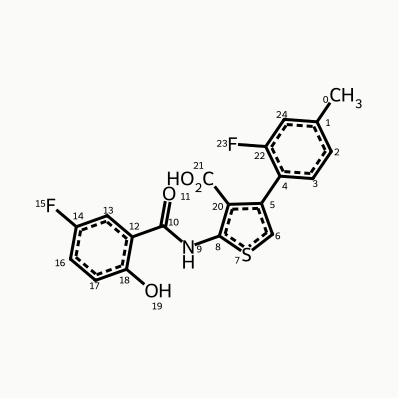 Cc1ccc(-c2csc(NC(=O)c3cc(F)ccc3O)c2C(=O)O)c(F)c1